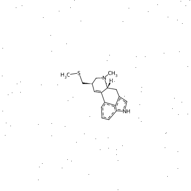 CSC[C@@H]1C=C2c3cccc4[nH]cc(c34)C[C@H]2N(C)C1